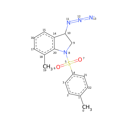 Cc1ccc(S(=O)(=O)N2CC(N=[N+]=[N-])c3cccc(C)c32)cc1